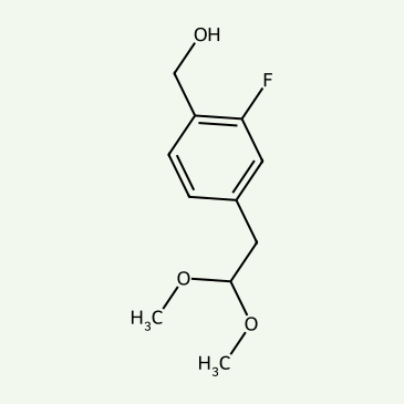 COC(Cc1ccc(CO)c(F)c1)OC